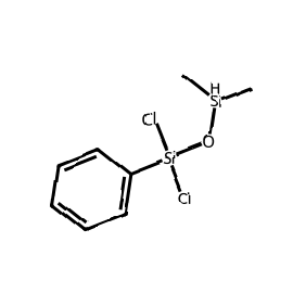 C[SiH](C)O[Si](Cl)(Cl)c1ccccc1